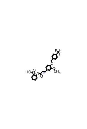 COc1cc(/C=C/C(=O)Nc2ccccc2C(=O)O)ccc1OCc1ccc(C(F)(F)F)cc1